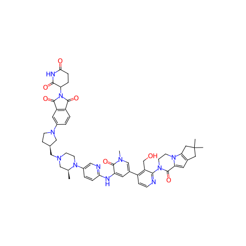 C[C@H]1CN(C[C@H]2CCN(c3ccc4c(c3)C(=O)N(C3CCC(=O)NC3=O)C4=O)C2)CCN1c1ccc(Nc2cc(-c3ccnc(N4CCn5c(cc6c5CC(C)(C)C6)C4=O)c3CO)cn(C)c2=O)nc1